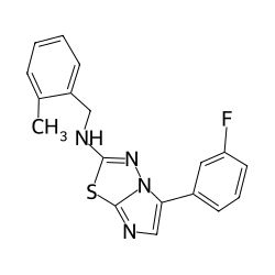 Cc1ccccc1CNc1nn2c(-c3cccc(F)c3)cnc2s1